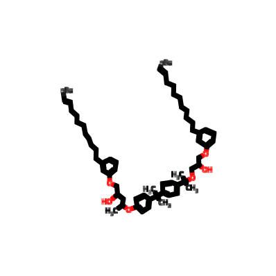 CCCC/C=C/CCCCCCCCCc1cccc(OCC(O)COC(C)(C)c2ccc(C(C)(C)c3ccc(OC(C)CC(O)COc4cccc(CCCCCCCCC/C=C/CCCC)c4)cc3)cc2)c1